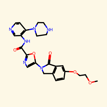 COCCOc1ccc2c(c1)C(=O)N(c1cnc(C(=O)Nc3cnccc3N3CCNCC3)o1)C2